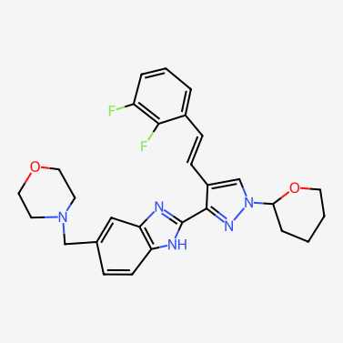 Fc1cccc(C=Cc2cn(C3CCCCO3)nc2-c2nc3cc(CN4CCOCC4)ccc3[nH]2)c1F